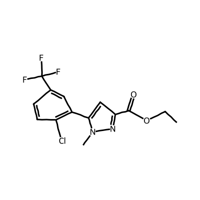 CCOC(=O)c1cc(-c2cc(C(F)(F)F)ccc2Cl)n(C)n1